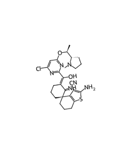 C[C@H](Oc1cc(Cl)nc(/C(O)=C2\CCC[C@@]3(CCCc4sc(N)c(C#N)c43)C2=N)n1)[C@@H]1CCCN1C